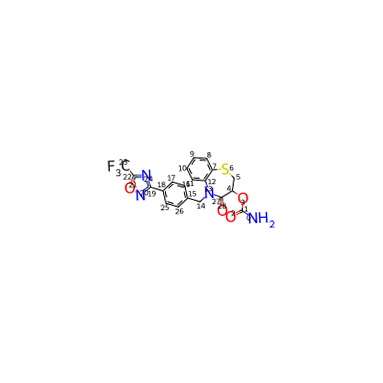 NC(=O)OC1CSc2ccccc2N(Cc2ccc(-c3noc(C(F)(F)F)n3)cc2)C1=O